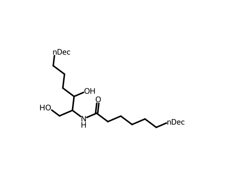 CCCCCCCCCCCCCCCC(=O)NC(CO)C(O)CCCCCCCCCCCCC